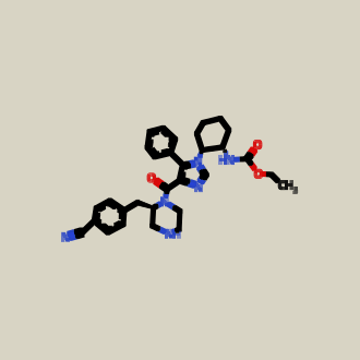 CCOC(=O)N[C@H]1CCCC[C@@H]1n1cnc(C(=O)N2CCNC[C@H]2Cc2ccc(C#N)cc2)c1-c1ccccc1